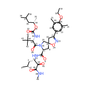 CCC[C@H](NC(=O)[C@@H]1C[C@]2(CC(c3cc(C)c(OCC)c(C)c3)=NO2)CN1C(=O)[C@@H](NC(=O)O[C@@H](C)CC(C)C)C(C)(C)C)C(=O)C(=O)NC